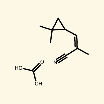 CC(C#N)=CC1CC1(C)C.O=C(O)O